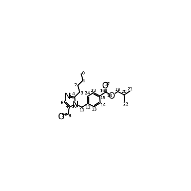 CCCCc1ncc(C=O)n1Cc1ccc(C(=O)OCC(C)C)cc1